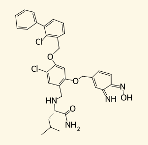 CC(C)C[C@H](NCc1cc(Cl)c(OCc2cccc(-c3ccccc3)c2Cl)cc1OCC1=CC(=N)/C(=N\O)C=C1)C(N)=O